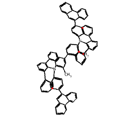 Cc1cc(-c2ccc(N(c3ccc(-c4cc5ccccc5c5ccccc45)cc3)c3c(-c4ccccc4)cccc3-c3ccccc3)c(C)c2)ccc1N(c1ccc(-c2cc3ccccc3c3ccccc23)cc1)c1c(-c2ccccc2)cccc1-c1ccccc1